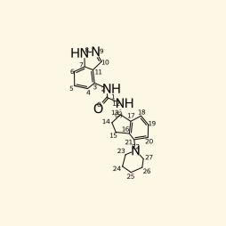 O=C(Nc1cccc2[nH]ncc12)N[C@H]1CCc2c1cccc2N1CCCCC1